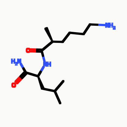 CC(C)C[C@H](NC(=O)[C@@H](C)CCCCN)C(N)=O